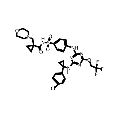 O=C(NS(=O)(=O)c1ccc(Nc2nc(NC3(c4ccc(Cl)cc4)CC3)nc(OCC(F)(F)F)n2)cc1)C1(CN2CCOCC2)CC1